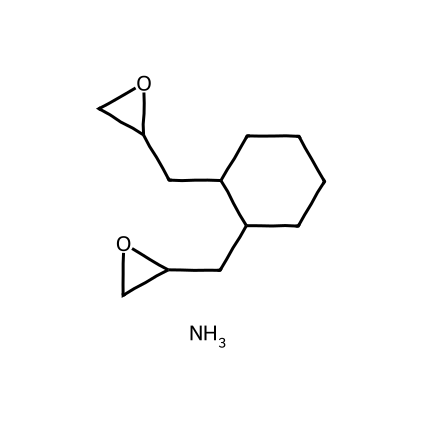 C1CCC(CC2CO2)C(CC2CO2)C1.N